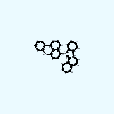 c1ccc2c(c1)Oc1ccc(-n3c4ccccc4c4ccc5ccccc5c43)c3cccc-2c13